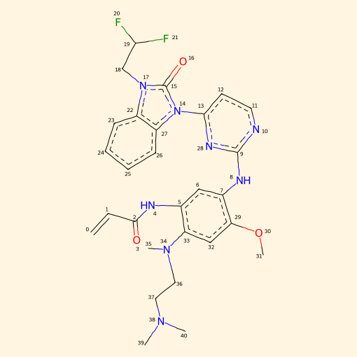 C=CC(=O)Nc1cc(Nc2nccc(-n3c(=O)n(CC(F)F)c4ccccc43)n2)c(OC)cc1N(C)CCN(C)C